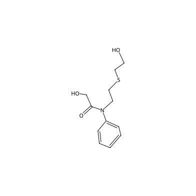 O=C(CO)N(CCSCCO)c1ccccc1